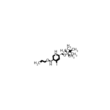 C=CCON[C@H]1CN[C@H](CO[Si](C)(C)C(C)(C)C)C=C1I